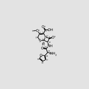 COC1=C(C(=O)O)N2C(=O)[C@@H](NC(=O)C(N)c3ccco3)[C@H]2SC1